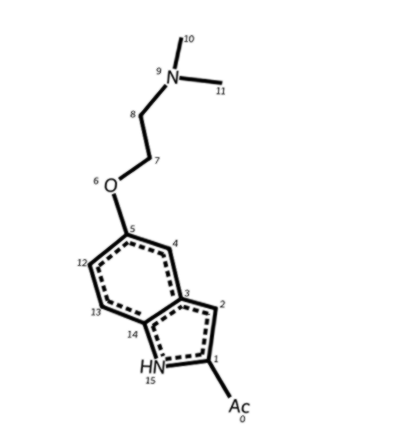 CC(=O)c1cc2cc(OCCN(C)C)ccc2[nH]1